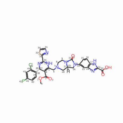 COC(=O)C1=C(CN2CCN3C(=O)N(c4ccc5[nH]c(C(=O)O)nc5c4)C[C@@H]3C2)NC(c2nccs2)=N[C@H]1c1ccc(F)cc1Cl